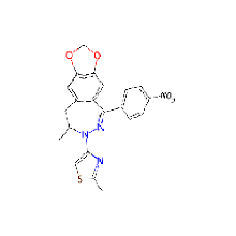 Cc1nc(N2N=C(c3ccc([N+](=O)[O-])cc3)c3cc4c(cc3CC2C)OCO4)cs1